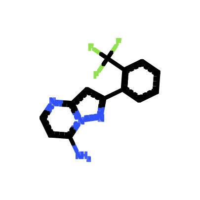 Nc1ccnc2cc(-c3ccccc3C(F)(F)F)nn12